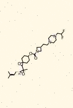 CC(C)=CC[C@H]1O[C@@]1(C)C1OC12CCC(OC(=O)N1CC(CCN3CCN(CC(F)F)CC3)C1)CC2